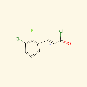 O=C(Cl)/C=C/c1cccc(Cl)c1F